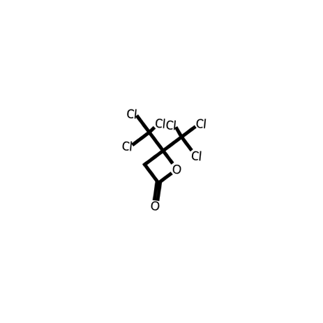 O=C1CC(C(Cl)(Cl)Cl)(C(Cl)(Cl)Cl)O1